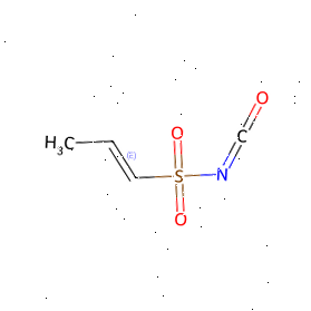 C/C=C/S(=O)(=O)N=C=O